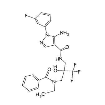 CCN(CC(O)(CNC(=O)c1cnn(-c2cccc(F)c2)c1N)C(F)(F)F)C(=O)c1ccccc1